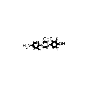 Cc1cc(N)cnc1N1CCN(c2cc(F)c(O)c(F)c2C=O)CC1